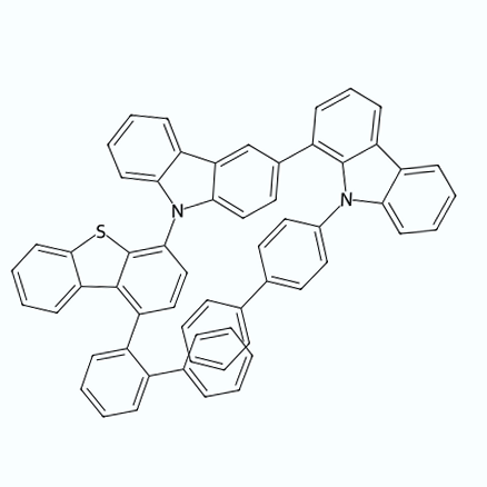 c1ccc(-c2ccc(-n3c4ccccc4c4cccc(-c5ccc6c(c5)c5ccccc5n6-c5ccc(-c6ccccc6-c6ccccc6)c6c5sc5ccccc56)c43)cc2)cc1